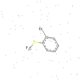 CCc1ccccc1SC(F)(F)F